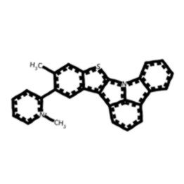 Cc1cc2sc3c(c2cc1-c1cccc[n+]1C)c1cccc2c4ccccc4n3c21